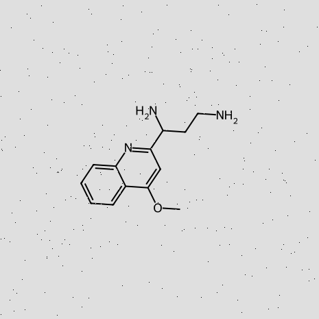 COc1cc(C(N)CCN)nc2ccccc12